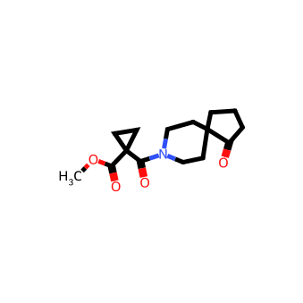 COC(=O)C1(C(=O)N2CCC3(CCCC3=O)CC2)CC1